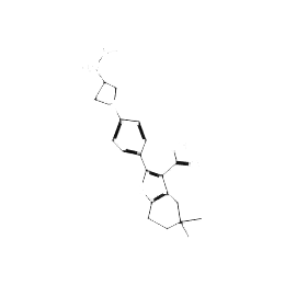 CC1(C)CCc2sc(-c3ccc(N4CC(NN)C4)cc3)c(C(=O)O)c2C1